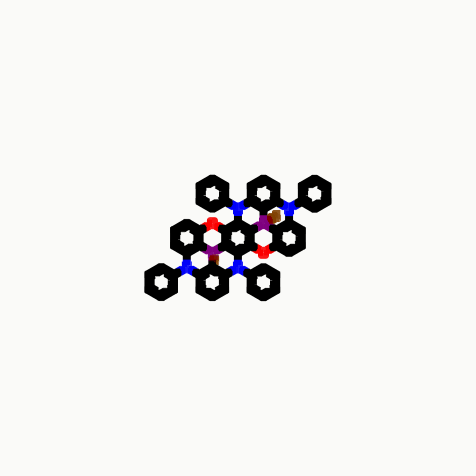 S=P12c3c4cccc3N(c3ccccc3)c3cccc(c31)N(c1ccccc1)c1c3c5c(c(c12)O4)N(c1ccccc1)c1cccc2c1P5(=S)c1c(cccc1N2c1ccccc1)O3